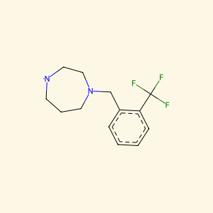 FC(F)(F)c1ccccc1CN1CCC[N]CC1